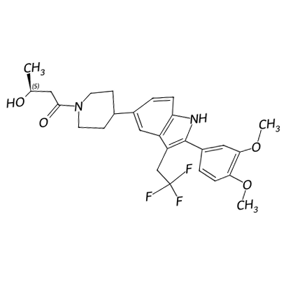 COc1ccc(-c2[nH]c3ccc(C4CCN(C(=O)C[C@H](C)O)CC4)cc3c2CC(F)(F)F)cc1OC